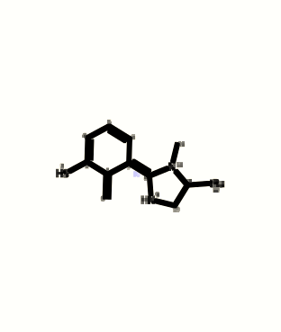 C=c1c(S)ccc/c1=C1/NCC(C(C)(C)C)N1C